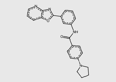 O=C(Nc1cccc(-c2nc3ncccc3o2)c1)c1ccc(N2CCCC2)cc1